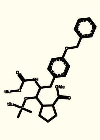 COC(=O)C1CCCC1C(O[Si](C)(C)C(C)(C)C)C(Cc1ccc(OCc2ccccc2)cc1)NC(=O)OC(C)(C)C